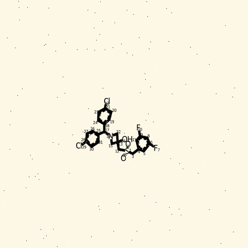 O=S(=O)(Cc1cc(F)cc(F)c1)CC1(O)CN(C(c2ccc(Cl)cc2)c2ccc(Cl)cc2)C1